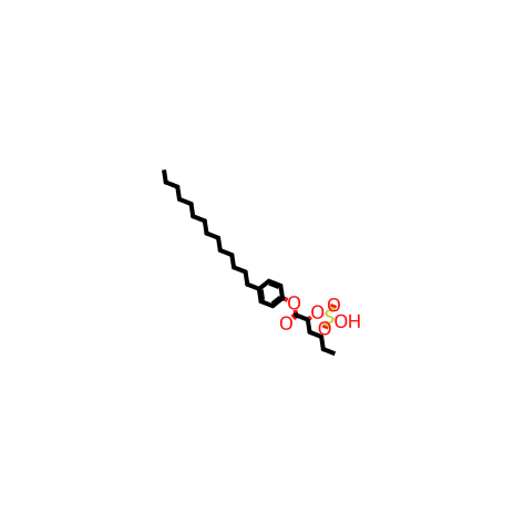 CCCCCCCCCCCCCCc1ccc(OC(=O)C(CCCC)OS(=O)(=O)O)cc1